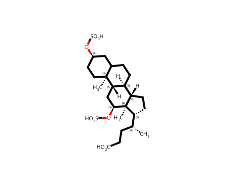 C[C@H](CCC(=O)O)[C@H]1CC[C@H]2[C@@H]3CCC4C[C@H](OS(=O)(=O)O)CC[C@]4(C)[C@H]3C[C@H](OS(=O)(=O)O)[C@]12C